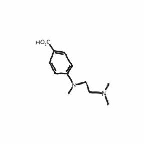 CN(C)CCN(C)c1ccc(C(=O)O)cc1